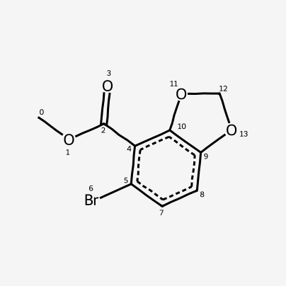 COC(=O)c1c(Br)ccc2c1OCO2